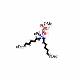 CCCCCCCCCCCCCCCC[N+](O)(CCC)CCCCCCCCCCCCCCCC.COS(=O)(=O)[O-]